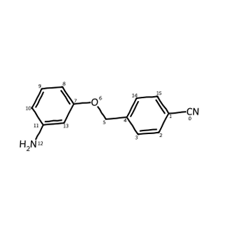 N#Cc1ccc(COc2cccc(N)c2)cc1